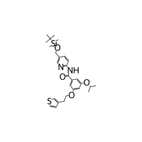 CC(C)Oc1cc(OCCc2ccsc2)cc(C(=O)Nc2ccc(CO[Si](C)(C)C(C)(C)C)cn2)c1